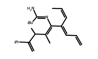 C=C/C=C(\C=C/C)C(/N=C(/N)C(C)CC)=C(\C)C(C)C(=C)C(C)C